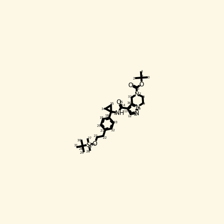 CC(C)(C)OC(=O)N1CCn2ncc(C(=O)NC3(c4ccc(CCO[Si](C)(C)C(C)(C)C)cc4)CC3)c2C1